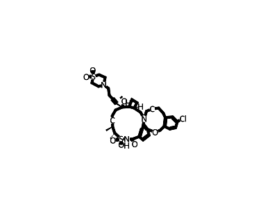 CO[C@@]1(C#CCCN2CCS(=O)(=O)CC2)CCC[C@H](C)[C@@H](C)S(=O)(=O)NC(=O)c2ccc3c(c2)N(CCCCc2cc(Cl)ccc2CO3)C[C@@H]2CC[C@H]21